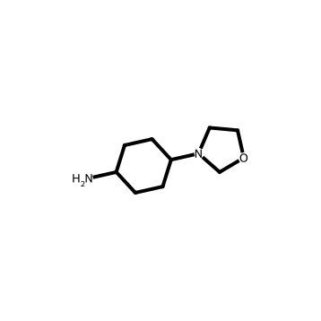 NC1CCC(N2CCOC2)CC1